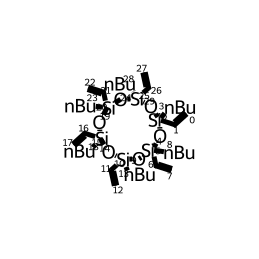 C=C[Si]1(CCCC)O[Si](C=C)(CCCC)O[Si](C=C)(CCCC)O[Si](C=C)(CCCC)O[Si](C=C)(CCCC)O[Si](C=C)(CCCC)O1